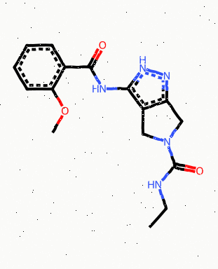 CCNC(=O)N1Cc2n[nH]c(NC(=O)c3ccccc3OC)c2C1